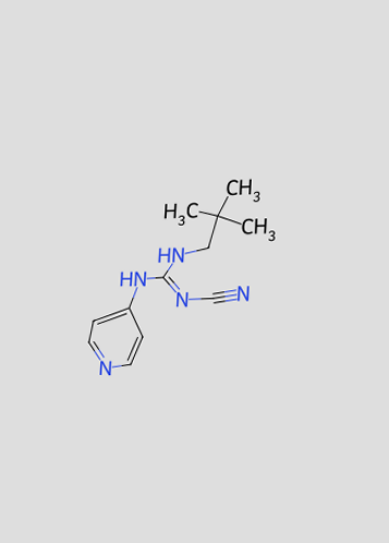 CC(C)(C)CNC(=NC#N)Nc1ccncc1